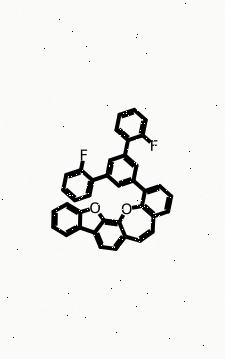 Fc1ccccc1-c1cc(-c2ccccc2F)cc(-c2cccc3c2Oc2c(ccc4c2oc2ccccc24)C=C3)c1